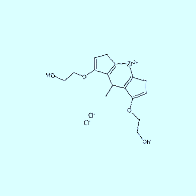 CC1C2=[C](CC=C2OCCO)[Zr+2][C]2=C1C(OCCO)=CC2.[Cl-].[Cl-]